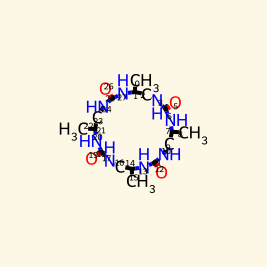 CC1CNC(=O)NC(C)CNC(=O)NC(C)CNC(=O)NC(C)CNC(=O)N1